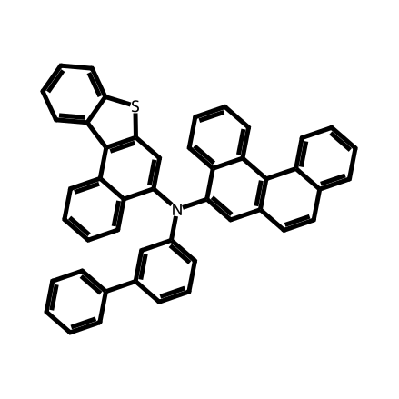 c1ccc(-c2cccc(N(c3cc4ccc5ccccc5c4c4ccccc34)c3cc4sc5ccccc5c4c4ccccc34)c2)cc1